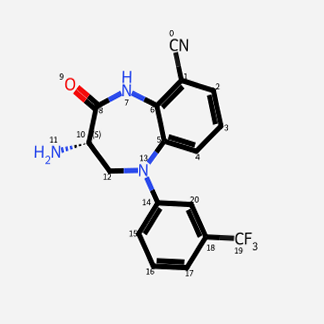 N#Cc1cccc2c1NC(=O)[C@@H](N)CN2c1cccc(C(F)(F)F)c1